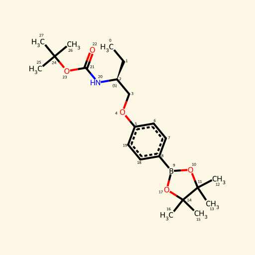 CC[C@@H](COc1ccc(B2OC(C)(C)C(C)(C)O2)cc1)NC(=O)OC(C)(C)C